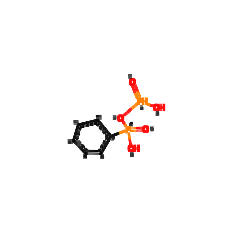 O=[PH](O)OP(=O)(O)c1ccccc1